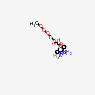 CCCOCCOCCOCCOCCNC(=O)CCC(=O)N1Cc2ccccc2/C(NC)=C(/N)c2ccccc21